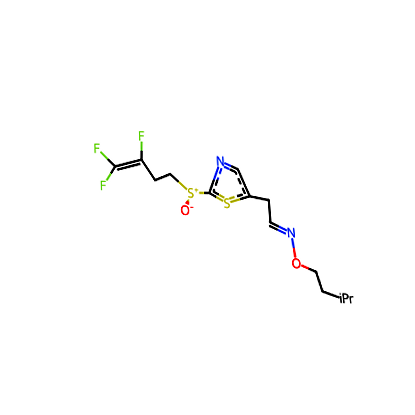 CC(C)CCO/N=C/Cc1cnc([S@@+]([O-])CCC(F)=C(F)F)s1